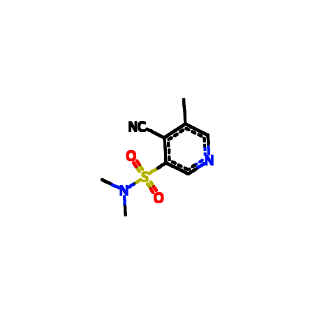 Cc1cncc(S(=O)(=O)N(C)C)c1C#N